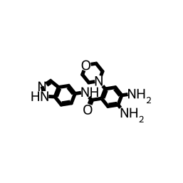 Nc1cc(C(=O)Nc2ccc3[nH]ncc3c2)c(N2CCOCC2)cc1N